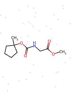 COC(=O)CNC(=O)OC1(C)CCCC1